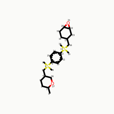 CC1CCC(CS(C)(C)c2ccc(S(C)(C)CC3CCC4OC4C3)cc2)CO1